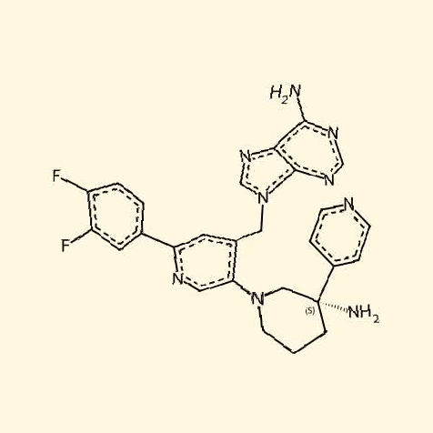 Nc1ncnc2c1ncn2Cc1cc(-c2ccc(F)c(F)c2)ncc1N1CCC[C@](N)(c2ccncc2)C1